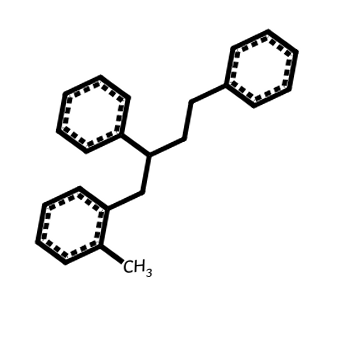 Cc1ccccc1CC(CCc1ccccc1)c1ccccc1